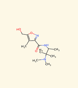 Cc1c(C(=O)NC(C)C(C)(C)N(C)C)noc1CO